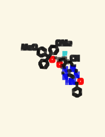 [CH2]C(C#N)[C@@H]1[C@@H](F)[C@@H](COC(c2ccccc2)(c2ccc(OC)cc2)c2ccc(OC)cc2)O[C@H]1n1cnc2c(NC(=O)c3ccccc3)ncnc21